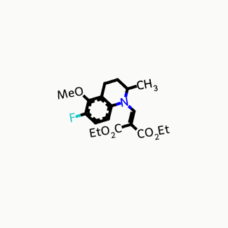 CCOC(=O)C(=CN1c2ccc(F)c(OC)c2CCC1C)C(=O)OCC